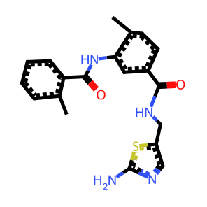 Cc1ccc(C(=O)NCc2cnc(N)s2)cc1NC(=O)c1ccccc1C